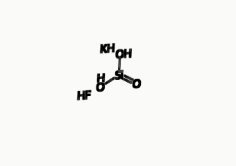 F.O=[Si](O)O.[KH]